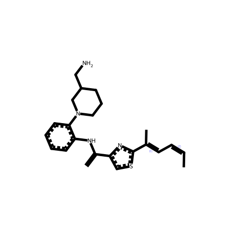 C=C(Nc1ccccc1N1CCCC(CN)C1)c1csc(/C(C)=C/C=C\C)n1